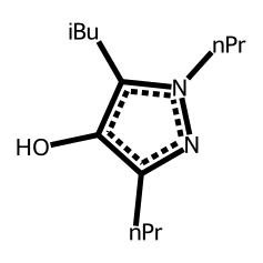 CCCc1nn(CCC)c(C(C)CC)c1O